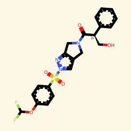 O=C([C@H](CO)c1ccccc1)N1Cc2cn(S(=O)(=O)c3ccc(OC(F)F)cc3)nc2C1